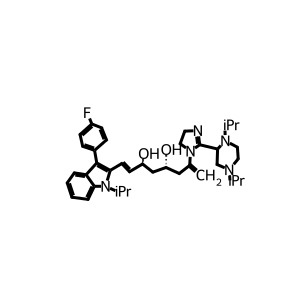 C=C(C[C@@H](O)C[C@@H](O)/C=C/c1c(-c2ccc(F)cc2)c2ccccc2n1C(C)C)N1CCN=C1C1CN(C(C)C)CCN1C(C)C